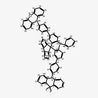 CC1(C)c2ccccc2N(c2ccc(-c3ccc4c(c3)C3(c5cc(-c6ccc(N7c8ccccc8Oc8ccccc87)cc6)ccc5N4c4ccccc4)c4ncccc4-c4cccnc43)cc2)c2ccccc21